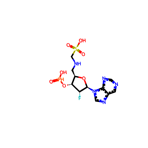 O=[PH](O)O[C@H]1[C@@H](F)[C@H](n2cnc3cncnc32)O[C@@H]1CNCS(=O)(=O)O